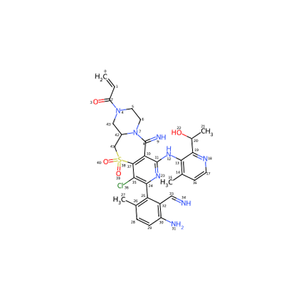 C=CC(=O)N1CCN2C(=N)c3c(Nc4c(C)ccnc4C(C)O)nc(-c4c(C)ccc(N)c4C=N)c(Cl)c3S(=O)(=O)CC2C1